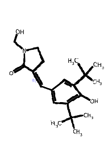 CC(C)(C)c1cc(/C=C2\CCN(CO)C2=O)cc(C(C)(C)C)c1O